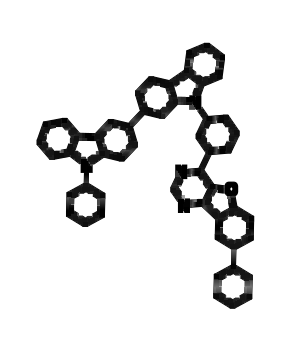 c1ccc(-c2ccc3oc4c(-c5cccc(-n6c7ccccc7c7ccc(-c8ccc9c(c8)c8ccccc8n9-c8ccccc8)cc76)c5)ncnc4c3c2)cc1